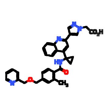 Cc1cc(COCc2ccccn2)ccc1C(=O)NC1(c2cc(-c3cnn(CC(=O)O)c3)nc3ccccc23)CC1